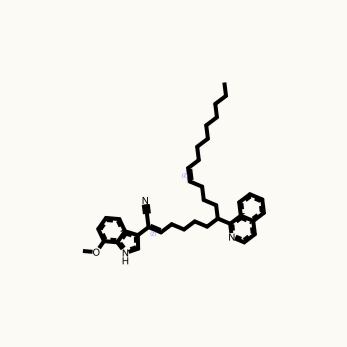 CCCCCCCC/C=C\CCCC(CCCC/C=C(\C#N)c1c[nH]c2c(OC)cccc12)c1nccc2ccccc12